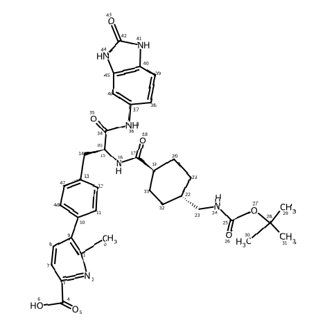 Cc1nc(C(=O)O)ccc1-c1ccc(C[C@H](NC(=O)[C@H]2CC[C@H](CNC(=O)OC(C)(C)C)CC2)C(=O)Nc2ccc3[nH]c(=O)[nH]c3c2)cc1